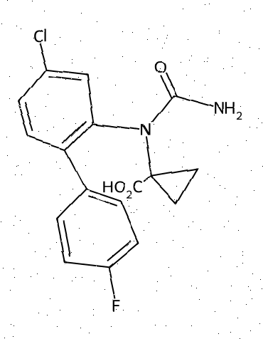 NC(=O)N(c1cc(Cl)ccc1-c1ccc(F)cc1)C1(C(=O)O)CC1